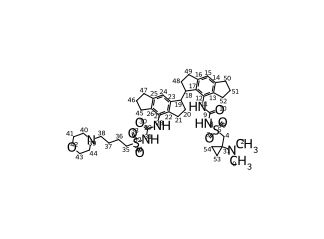 CN(C)C1(CS(=O)(=O)NC(=O)Nc2c3c(cc4c2C(C2CCc5c2cc2c(c5NC(=O)NS(=O)(=O)CCCCN5CCOCC5)CCC2)CC4)CCC3)CC1